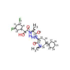 C[C@H](NC(=O)[C@H](O)c1cc(F)cc(F)c1)C(=O)N[C@H]1CC[C@@H](c2ccccc2)CN(C)C1=O